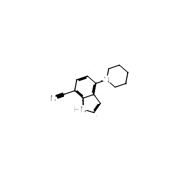 N#Cc1ccc(N2CCCCC2)c2cc[nH]c12